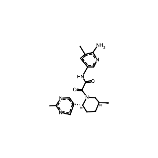 Cc1ncc([C@H]2CC[C@H](C)CN2C(=O)C(=O)Nc2cnc(N)c(C)c2)cn1